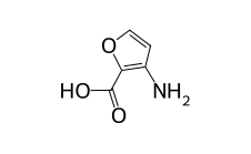 Nc1ccoc1C(=O)O